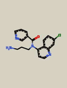 NCCCN(C(=O)c1cccnc1)c1ccnc2cc(Cl)ccc12